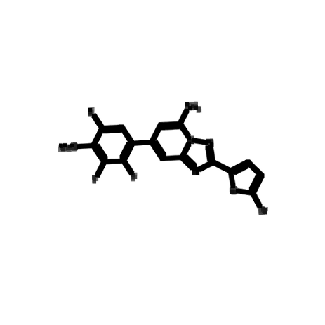 COc1c(F)cc(-c2cc(N)n3nc(-c4ccc(Br)o4)nc3c2)c(F)c1F